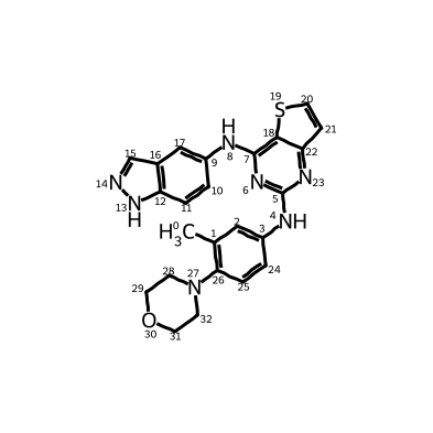 Cc1cc(Nc2nc(Nc3ccc4[nH]ncc4c3)c3sccc3n2)ccc1N1CCOCC1